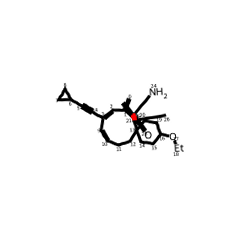 C=C1/C=C(C#CC2CC2)\C=C/CCC2(CCC(OCC)CC2)C12N=C(N)N(C)C2=O